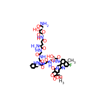 CC[C@@]1(O)C(=O)OCc2c1cc1n(c2=O)Cc2c-1nc1cc(F)c(C)c3c1c2[C@@H](NC(=O)[C@@H](CO)OCNC(=O)CNC(=O)[C@H](Cc1ccccc1)NC(=O)CNC(=O)CNC(=O)[C@@H](N)CCC(=O)NC[C@H]1O[C@@H](CC(N)=O)[C@H](O)[C@@H]1O)CC3